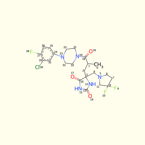 CC(CC1(CN2CCC(F)(F)C2)NC(=O)NC1=O)C(=O)N1CCN(c2ccc(F)c(Cl)c2)CC1